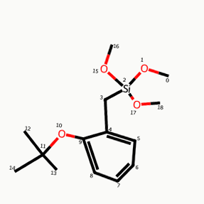 CO[Si](Cc1ccccc1OC(C)(C)C)(OC)OC